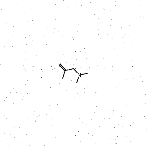 C=C(C)CN(C)C